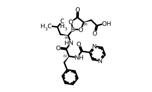 CC(C)C[C@H](NC(=O)[C@H](Cc1ccccc1)NC(=O)c1cnccn1)B1OC(=O)[C@@H](CC(=O)O)O1